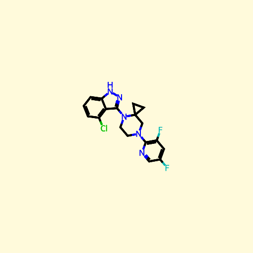 Fc1cnc(N2CCN(c3n[nH]c4cccc(Cl)c34)C3(CC3)C2)c(F)c1